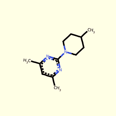 Cc1cc(C)nc(N2CCC(C)CC2)n1